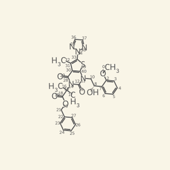 COc1ccccc1[C@H](O)Cn1c(=O)n(C(C)(C)C(=O)OCc2ccccc2)c(=O)c2c(C)c(-n3nccn3)sc21